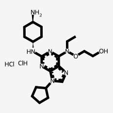 CCN(OCCO)c1nc(N[C@H]2CC[C@H](N)CC2)nc2c1ncn2C1CCCC1.Cl.Cl